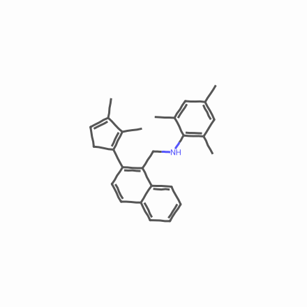 CC1=CCC(c2ccc3ccccc3c2CNc2c(C)cc(C)cc2C)=C1C